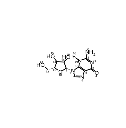 Nc1nc(=O)c2ncn([C@@H]3O[C@H](CO)C(O)C3O)c2n1F